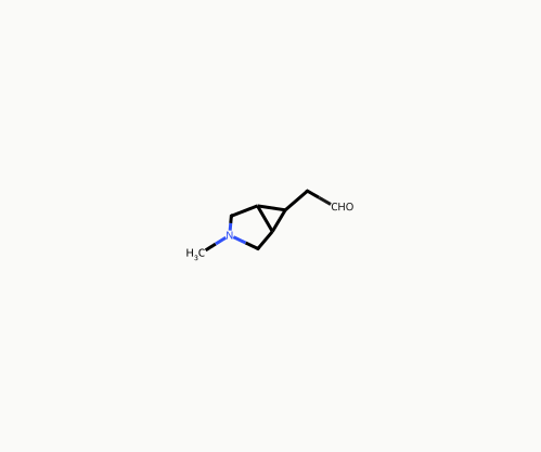 CN1CC2C(CC=O)C2C1